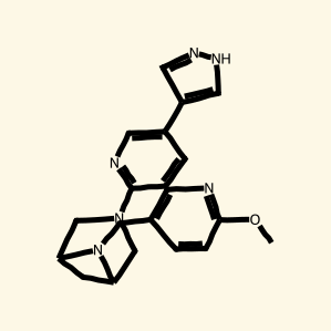 COc1ccc(CN2C3CC2CN(c2ccc(-c4cn[nH]c4)cn2)C3)cn1